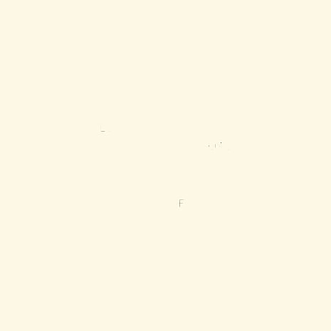 CC[C@H]1C=C(F)C(OC(C)=O)O1